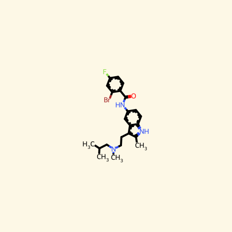 Cc1[nH]c2ccc(NC(=O)c3ccc(F)cc3Br)cc2c1CCN(C)CC(C)C